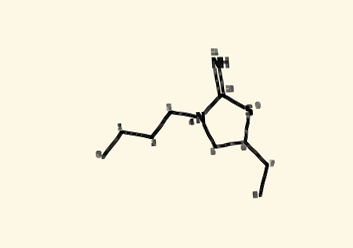 CCCCN1CC(CC)SC1=N